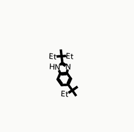 CCC(C)(C)c1ccc2[nH]c(C(C)(CC)CC)nc2c1